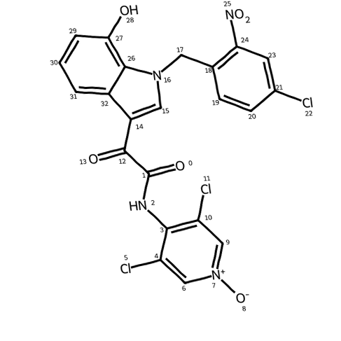 O=C(Nc1c(Cl)c[n+]([O-])cc1Cl)C(=O)c1cn(Cc2ccc(Cl)cc2[N+](=O)[O-])c2c(O)cccc12